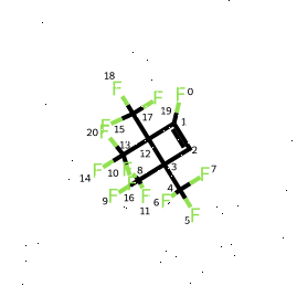 FC1=CC(C(F)(F)F)(C(F)(F)F)C1(C(F)(F)F)C(F)(F)F